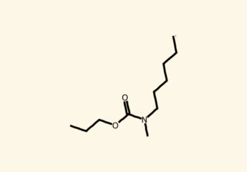 [CH2]CCCCCN(C)C(=O)OCCC